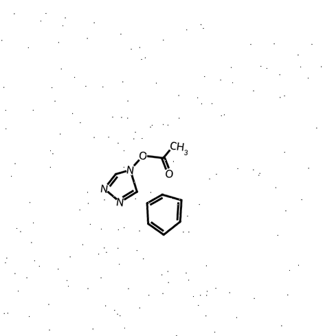 CC(=O)On1cnnc1.c1ccccc1